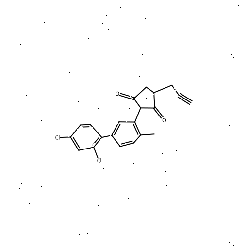 C#CCC1CC(=O)C(c2cc(-c3ccc(Cl)cc3Cl)ccc2C)C1=O